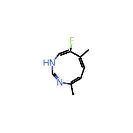 Cc1ccc(C)c(F)c[nH]cn1